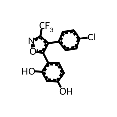 Oc1ccc(-c2onc(C(F)(F)F)c2-c2ccc(Cl)cc2)c(O)c1